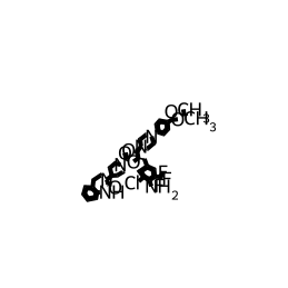 CC(C)OC(=O)c1ccc(N2CCN(C(=O)[C@@H](Cc3cc(Cl)c(N)c(C(F)(F)F)c3)OC(=O)N3CCC(N4CCc5ccccc5NC4=O)CC3)CC2)cc1